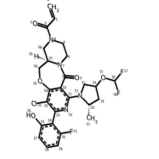 C=CC(=O)N1CCN2C(=O)c3c(N4CC(OC(F)F)C[C@@H]4C)nc(-c4c(O)cccc4F)c(Cl)c3OC[C@H]2C1